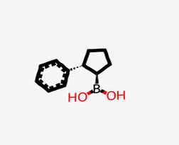 OB(O)[C@@H]1CCC[C@H]1c1ccccc1